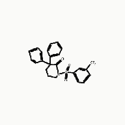 O=C1N(S(=O)(=O)c2cccc(C(F)(F)F)c2)CCCC1(c1ccccc1)c1ccccc1